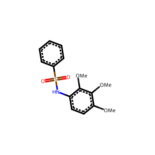 COc1ccc(NS(=O)(=O)c2ccccc2)c(OC)c1OC